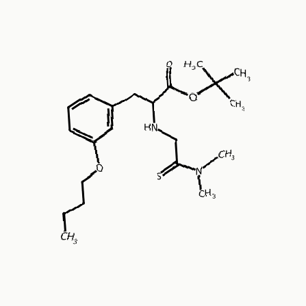 CCCCOc1cccc(CC(NCC(=S)N(C)C)C(=O)OC(C)(C)C)c1